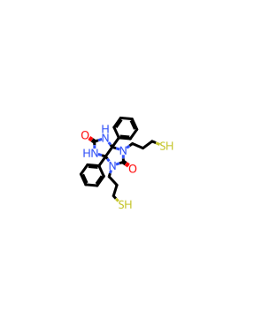 O=C1NC2(c3ccccc3)N(CCCS)C(=O)N(CCCS)C2(c2ccccc2)N1